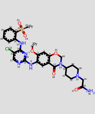 CC(C)Oc1cc2c(cc1Nc1ncc(Cl)c(Nc3ccccc3S(=O)(=O)C(C)C)n1)C(=O)N(C1CCN(CC(N)=O)CC1)CO2